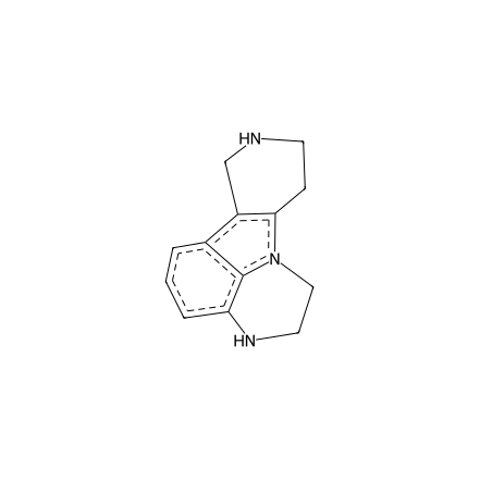 c1cc2c3c(c1)c1c(n3CCN2)CCNC1